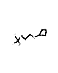 FC(F)(F)OCCOC1C[CH]C1